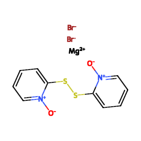 [Br-].[Br-].[Mg+2].[O-][n+]1ccccc1SSc1cccc[n+]1[O-]